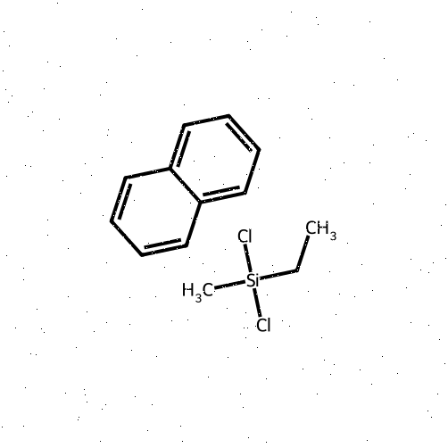 CC[Si](C)(Cl)Cl.c1ccc2ccccc2c1